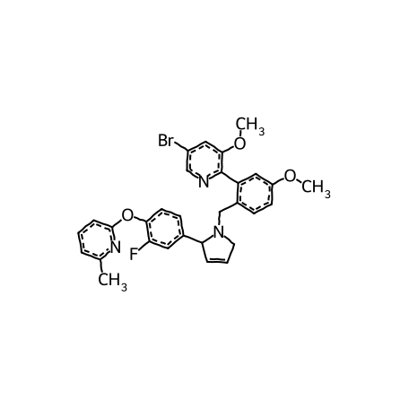 COc1ccc(CN2CC=CC2c2ccc(Oc3cccc(C)n3)c(F)c2)c(-c2ncc(Br)cc2OC)c1